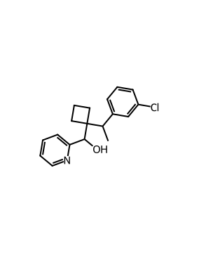 CC(c1cccc(Cl)c1)C1(C(O)c2ccccn2)CCC1